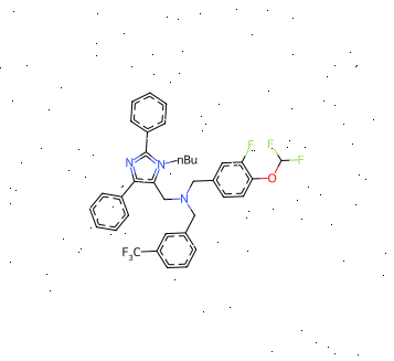 CCCCn1c(-c2ccccc2)nc(-c2ccccc2)c1CN(Cc1cccc(C(F)(F)F)c1)Cc1ccc(OC(F)F)c(F)c1